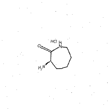 Cl.N[C@@H]1CCCCNC1=O